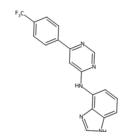 FC(F)(F)c1ccc(-c2cc(Nc3cccc4[nH][c]nc34)ncn2)cc1